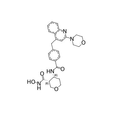 O=C(N[C@@H]1CCOC[C@@H]1C(=O)NO)c1ccc(Cc2cc(N3CCOCC3)nc3ccccc23)cc1